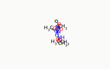 CC#CCn1c(N2CCCC(NC(=O)OC(C)(C)C)C2)nc2c(=O)n(C)n(CC(=O)c3ccccc3)c(=O)c21